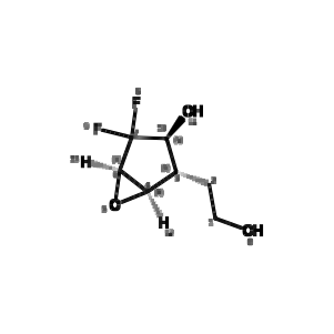 OCC[C@@H]1[C@H]2O[C@H]2C(F)(F)[C@H]1O